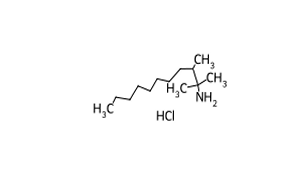 CCCCCCCCC(C)C(C)(C)N.Cl